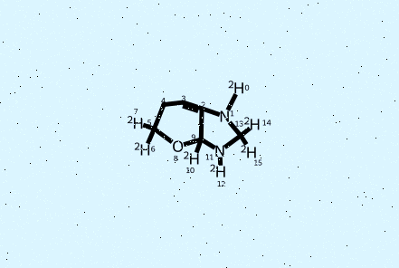 [2H]N1C2=CCC([2H])([2H])OC2([2H])N([2H])C1([2H])[2H]